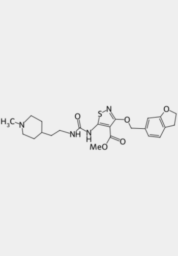 COC(=O)c1c(OCc2ccc3c(c2)OCC3)nsc1NC(=O)NCCC1CCN(C)CC1